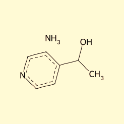 CC(O)c1ccncc1.N